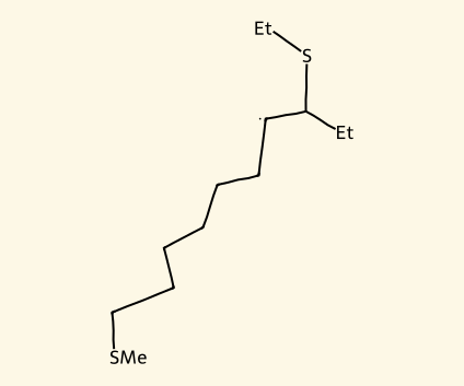 CCSC([CH]CCCCCCSC)CC